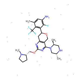 Cc1cc(N)c(F)c(C2Cc3nc(OC[C@@H]4CCCN4C)nc(N4C[C@@H](C)NC[C@@H]4C)c3CO2)c1C(F)(F)F